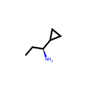 CC[C@H](N)C1CC1